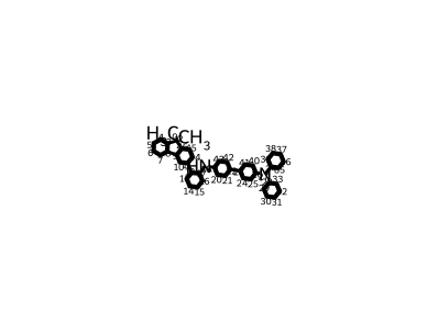 CC1(C)c2ccccc2-c2cc(-c3ccccc3Nc3ccc(-c4ccc(N(c5ccccc5)c5ccccc5)cc4)cc3)ccc21